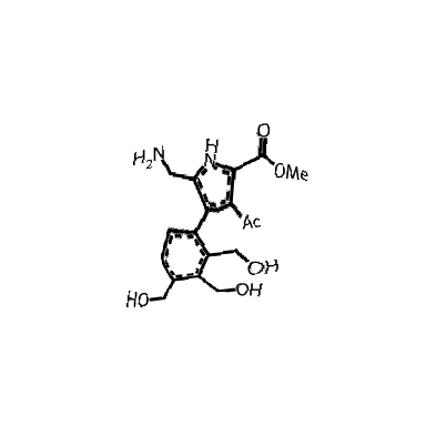 COC(=O)c1[nH]c(CN)c(-c2ccc(CO)c(CO)c2CO)c1C(C)=O